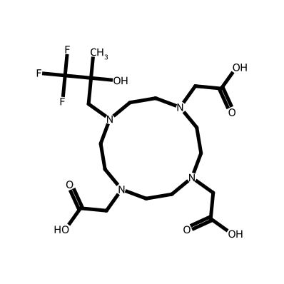 CC(O)(CN1CCN(CC(=O)O)CCN(CC(=O)O)CCN(CC(=O)O)CC1)C(F)(F)F